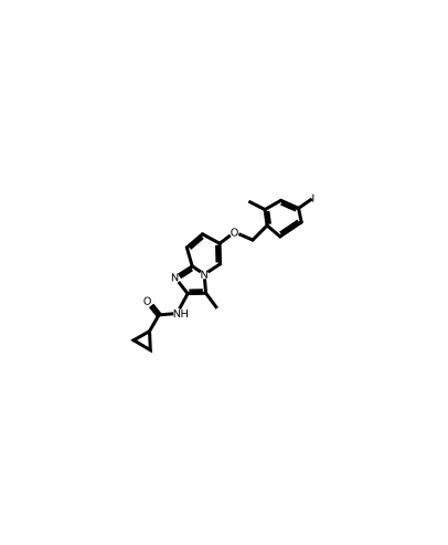 Cc1cc(I)ccc1COc1ccc2nc(NC(=O)C3CC3)c(C)n2c1